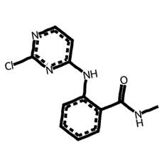 CNC(=O)c1ccccc1Nc1ccnc(Cl)n1